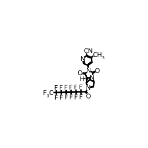 Cc1cc(N2C(=O)[C@@H]3C4CC(CN4C(=O)C(F)(F)C(F)(F)C(F)(F)C(F)(F)C(F)(F)C(F)(F)C(F)(F)F)N3C2=O)cnc1C#N